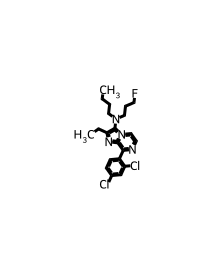 CCCCN(CCCF)c1c(CC)nc2c(-c3ccc(Cl)cc3Cl)nccn12